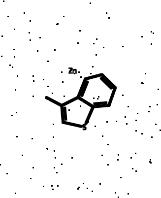 Cc1csc2ccccc12.[Zn]